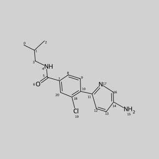 CC(C)CNC(=O)c1ccc(-c2ccc(N)cn2)c(Cl)c1